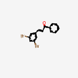 O=C(C=Cc1cc(Br)cc(Br)c1)c1ccccc1